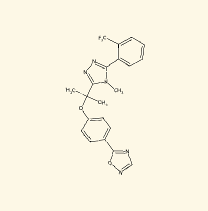 Cn1c(-c2ccccc2C(F)(F)F)nnc1C(C)(C)Oc1ccc(-c2ncno2)cc1